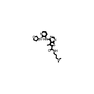 Cc1c(C(=O)NCCCN(C)C)sc2ncnc(Nc3cccnc3O[C@H]3CCOC3)c12